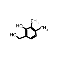 Cc1ccc(CO)c(O)c1C